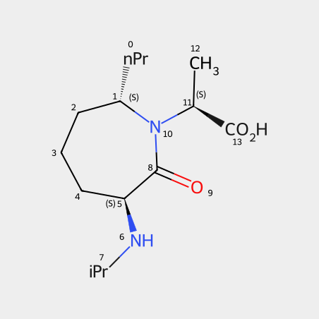 CCC[C@H]1CCC[C@H](NC(C)C)C(=O)N1[C@@H](C)C(=O)O